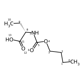 CCCCOC(=O)N[C@@H](CC)C(=O)O